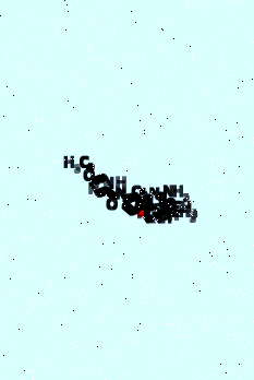 CCOc1cnc(C(=O)Nc2ccc(F)c([C@@]3(CC)N=C(N)C(CC)(CC)S4(O)NCC[C@@H]34)c2)cn1